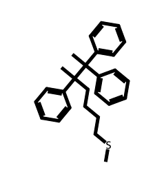 CSCCCCC(C)(c1ccccc1)C(C)(c1ccccc1)c1ccccc1